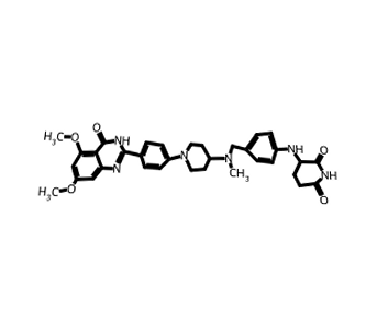 COc1cc(OC)c2c(=O)[nH]c(-c3ccc(N4CCC(N(C)Cc5ccc(NC6CCC(=O)NC6=O)cc5)CC4)cc3)nc2c1